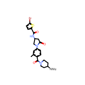 CNC1CCN(C(=O)c2ccc(N3CC(NC(=O)c4ccc(Br)s4)CC3=O)cc2C)CC1